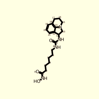 O=C(CCCCCCNC(=O)NC1CN2CCCc3cccc1c32)NO